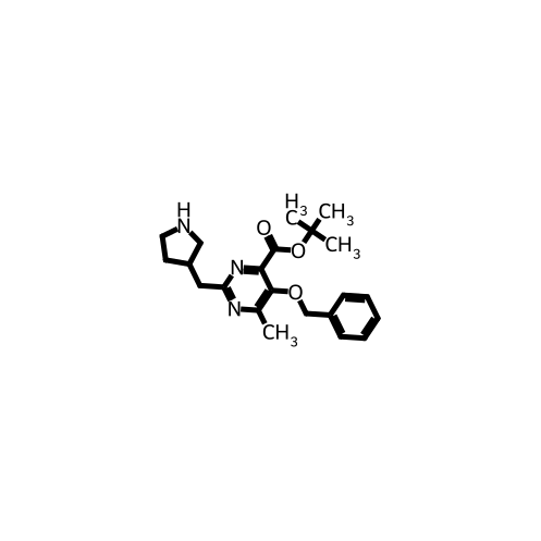 Cc1nc(CC2CCNC2)nc(C(=O)OC(C)(C)C)c1OCc1ccccc1